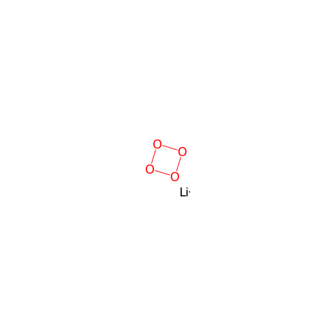 O1OOO1.[Li]